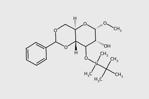 CO[C@H]1O[C@@H]2COC(c3ccccc3)O[C@H]2C(O[Si](C)(C)C(C)(C)C)[C@H]1O